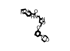 O=C(NCC1=NOC(COc2cccc(N3CCOCC3)c2)C1)c1ccc2nccn2c1